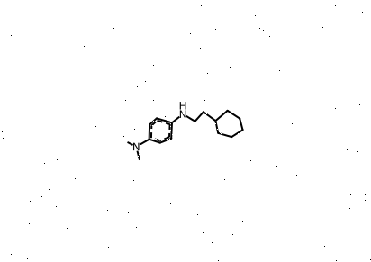 CN(C)c1ccc(NCCC2CCCCC2)cc1